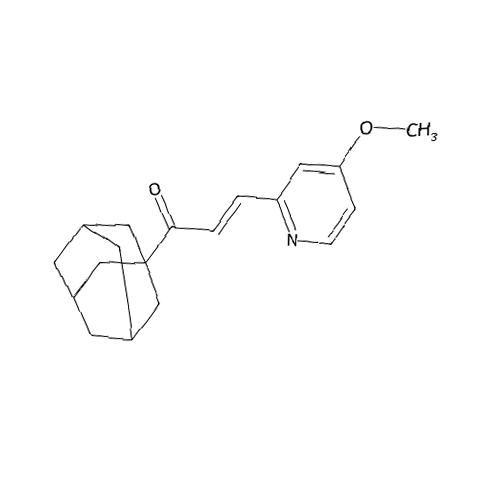 COc1ccnc(C=CC(=O)C23CC4CC(CC(C4)C2)C3)c1